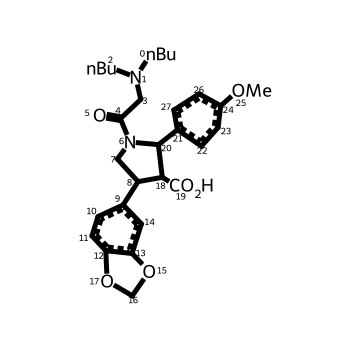 CCCCN(CCCC)CC(=O)N1CC(c2ccc3c(c2)OCO3)C(C(=O)O)C1c1ccc(OC)cc1